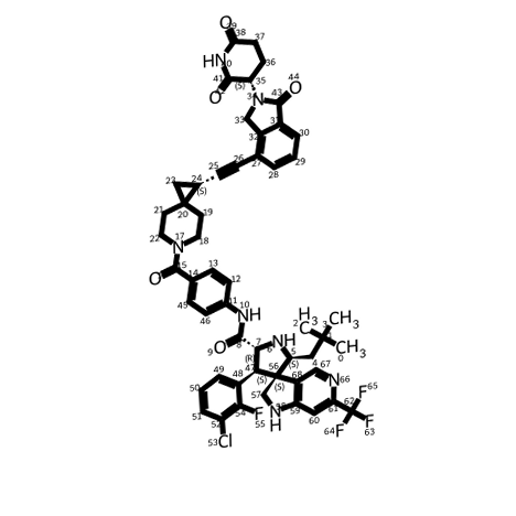 CC(C)(C)C[C@@H]1N[C@@H](C(=O)Nc2ccc(C(=O)N3CCC4(CC3)C[C@@H]4C#Cc3cccc4c3CN([C@H]3CCC(=O)NC3=O)C4=O)cc2)[C@H](c2cccc(Cl)c2F)[C@]12CNc1cc(C(F)(F)F)ncc12